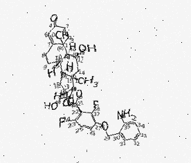 C[C@]12C=CC(=O)C=C1CC[C@@H]1[C@@H]2[C@@H](O)C[C@@]2(C)[C@H]1C[C@H]1O[C@H](c3c(F)ccc(OCc4ccccc4N)c3F)O[C@]12C(=O)CO